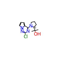 CC(C)(O)[C@@H]1CCCN1c1nc(Cl)nn2cccc12